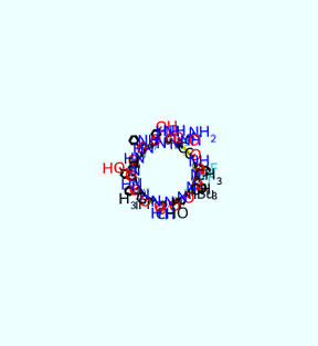 CCCC[C@H]1C(=O)N2CCC[C@@H]2C(=O)N[C@@H](COC=O)C(=O)N[C@@H](C(C)C)C(=O)N(C)[C@@H](Cc2ccccc2)C(=O)N[C@@H](Cc2ccc(O)cc2)C(=O)N2CCC[C@@H]2C(=O)N[C@@H](Cc2c[nH]c3ccccc23)C(=O)N[C@@H](Cc2ccc(O)cc2)C(=O)N[C@@H](CCN)C(=O)N[C@H](C(=O)NCC(N)=O)CSCC(=O)N[C@@H](Cc2cc(F)c(F)c(F)c2)C(=O)N(C)[C@@H](Cc2ccccc2)C(=O)N1C